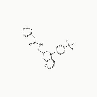 O=C(Cc1ccccc1)NCC1Cc2ncccc2N(c2ccc(C(F)(F)F)cc2)C1